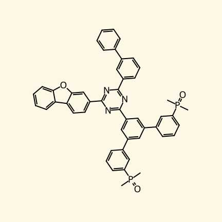 CP(C)(=O)c1cccc(-c2cc(-c3cccc(P(C)(C)=O)c3)cc(-c3nc(-c4cccc(-c5ccccc5)c4)nc(-c4ccc5c(c4)oc4ccccc45)n3)c2)c1